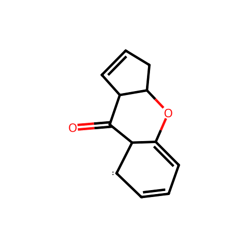 O=C1C2[C]C=CC=C2OC2CC=CC12